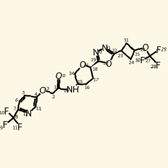 O=C(COc1ccc(C(F)(F)F)nc1)N[C@H]1CC[C@H](c2nnc(C3CC(OC(F)(F)F)C3)o2)OC1